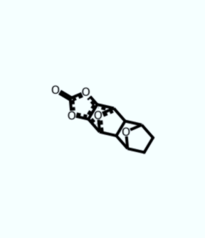 O=c1oc2c3oc(c2o1)C1C2CCC(O2)C31